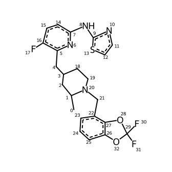 CC1CC(Cc2nc(Nc3nccs3)ccc2F)CCN1Cc1cccc2c1OC(F)(F)O2